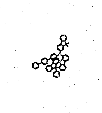 CC1(C)c2ccccc2-c2ccc(N(c3ccc(-c4ccc(-c5ccccc5)cc4)cc3)c3cccc4c3oc3c(C5(c6ccccc6)c6ccccc6-c6ccccc65)cccc34)cc21